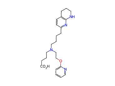 O=C(O)CCCN(CCCCc1ccc2c(n1)NCCC2)CCOc1ccccn1